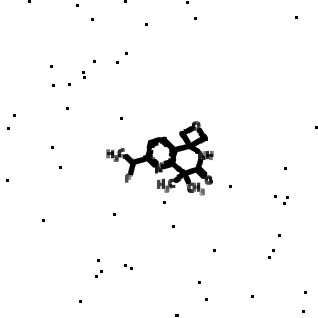 CC(F)c1ccc2c(n1)C(C)(C)C(=O)NC21COC1